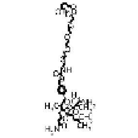 CC(C)C[C@H](OC(=O)C(C)(C)CN)C(=O)O[C@@H](C/C=C/C(N)=O)[C@H](C)[C@@H]1O[C@H]1c1ccc(COC(=O)NCCOCCOCCOCCOCCC(=O)ON2C(=O)CCC2=O)cc1